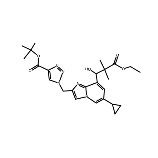 CCOC(=O)C(C)(C)C(O)c1cc(C2CC2)cn2cc(Cn3cc(C(=O)OC(C)(C)C)nn3)nc12